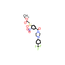 CCOC(=O)C[S+]([O-])c1ccc(C(=O)N2CCN(c3ccc(C(F)(F)F)cc3)CC2)cc1[N+](=O)[O-]